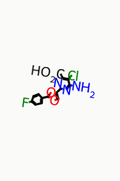 Nc1nc(C2=COC(c3ccc(F)cc3)O2)nc(C(=O)O)c1Cl